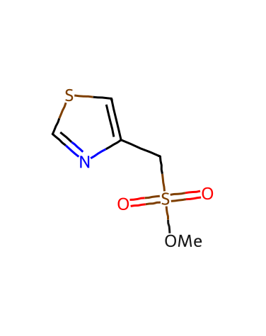 COS(=O)(=O)Cc1cscn1